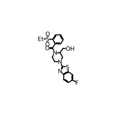 CCS(=O)(=O)c1ccccc1C(=O)N1CCN(c2nc3ccc(F)cc3s2)CC1CO